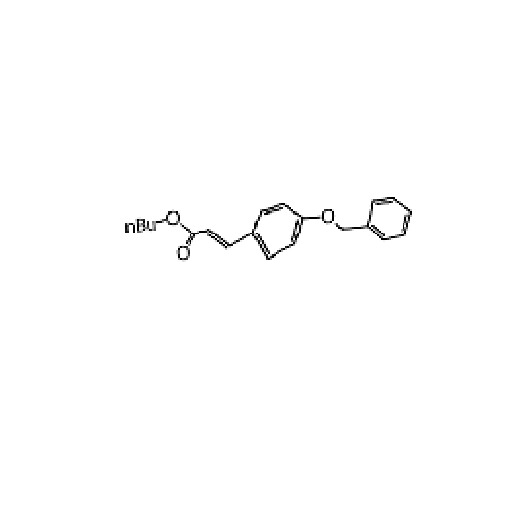 CCCCOC(=O)/C=C/c1ccc(OCc2ccccc2)cc1